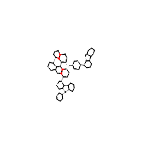 CC1(c2ccccc2)c2ccccc2-c2c(-c3ccc(N(c4ccc(-c5cccc6c5oc5ccccc56)cc4)c4ccccc4-c4cccc5cccc(-c6ccccc6)c45)cc3)cccc21